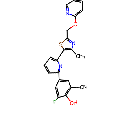 Cc1nc(COc2ccccn2)sc1-c1cccc(-c2cc(F)c(O)c(C#N)c2)n1